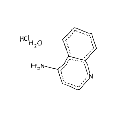 Cl.Nc1ccnc2ccccc12.O